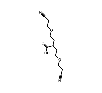 N#CCCOCCN(CCOCCC#N)C(=O)O